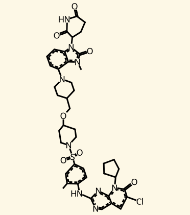 Cc1cc(S(=O)(=O)N2CCC(OCC3CCN(c4cccc5c4n(C)c(=O)n5C4CCC(=O)NC4=O)CC3)CC2)ccc1Nc1ncc2cc(Cl)c(=O)n(C3CCCC3)c2n1